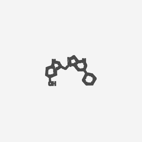 Oc1ccc2ncc(Cn3ncc4ncc(-c5ccccc5)cc43)n2c1